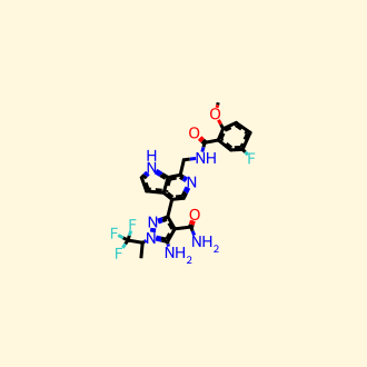 COc1ccc(F)cc1C(=O)NCc1ncc(-c2nn(C(C)C(F)(F)F)c(N)c2C(N)=O)c2cc[nH]c12